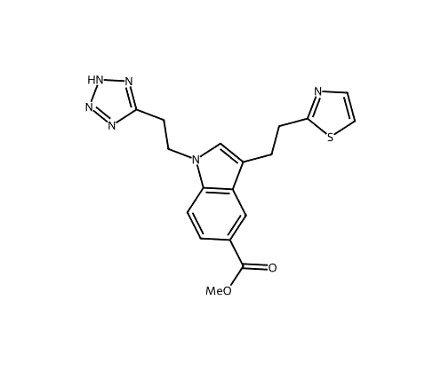 COC(=O)c1ccc2c(c1)c(CCc1nccs1)cn2CCc1nn[nH]n1